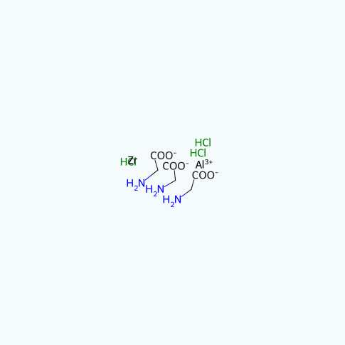 Cl.Cl.Cl.NCC(=O)[O-].NCC(=O)[O-].NCC(=O)[O-].[Al+3].[Zr]